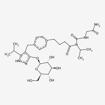 CC(C)c1[nH]nc(O[C@@H]2O[C@H](CO)[C@@H](O)[C@H](O)[C@H]2O)c1Cc1ccc(CCCC(=O)N(C(=O)NCC(N)=O)C(C)C)cc1